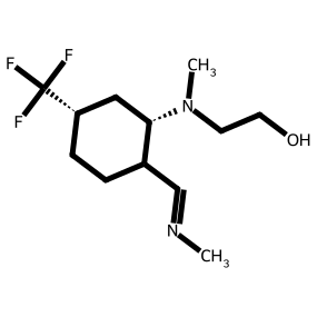 C/N=C/C1CC[C@H](C(F)(F)F)C[C@@H]1N(C)CCO